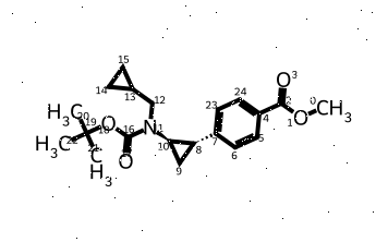 COC(=O)c1ccc([C@@H]2C[C@H]2N(CC2CC2)C(=O)OC(C)(C)C)cc1